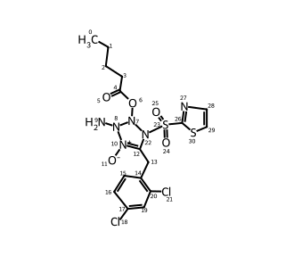 CCCCC(=O)ON1N(N)[N+]([O-])=C(Cc2ccc(Cl)cc2Cl)N1S(=O)(=O)c1nccs1